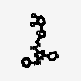 Clc1cccc(-c2ccc(/C=N/Nc3nc(Nc4ccccc4)nc(N4CCOCC4)n3)o2)c1Cl